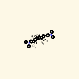 CC1(C)c2cc(-c3ccc(N(c4ccccc4)c4ccccc4)cc3)ccc2-c2cc3c(cc21)-c1cc2c(cc1C3(C)C)-c1ccc(N(c3ccccc3)c3ccccc3)cc1C2(C)C